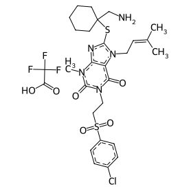 CC(C)=CCn1c(SC2(CN)CCCCC2)nc2c1c(=O)n(CCS(=O)(=O)c1ccc(Cl)cc1)c(=O)n2C.O=C(O)C(F)(F)F